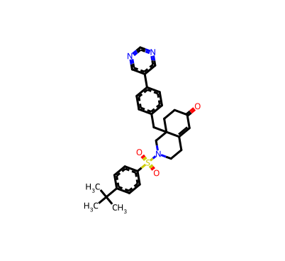 CC(C)(C)c1ccc(S(=O)(=O)N2CCC3=CC(=O)CCC3(Cc3ccc(-c4cncnc4)cc3)C2)cc1